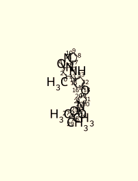 CC1CC(=O)N(c2ccccn2)NC1c1ccc(OC2CCN(C(=O)OC(C)(C)C)CC2)cc1